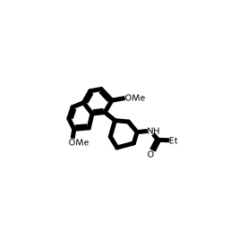 CCC(=O)NC1CCCC(c2c(OC)ccc3ccc(OC)cc23)C1